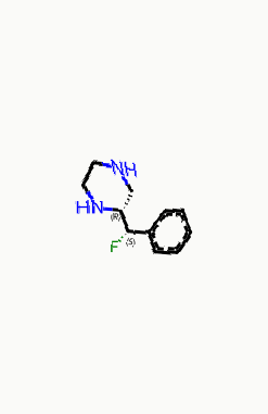 F[C@@H](c1ccccc1)[C@H]1CNCCN1